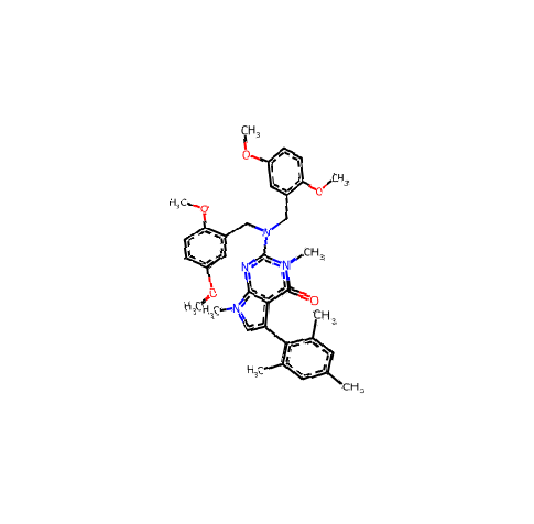 COc1ccc(OC)c(CN(Cc2cc(OC)ccc2OC)c2nc3c(c(-c4c(C)cc(C)cc4C)cn3C)c(=O)n2C)c1